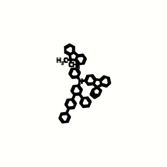 CC1(C)c2ccccc2-c2cccc(-c3cccc(N(c4ccc(-c5ccc(-c6ccccc6)cc5)c(-c5ccccc5)c4)c4ccc5c(c4)C4(CC6CCC4C6)c4ccccc4-5)c3)c21